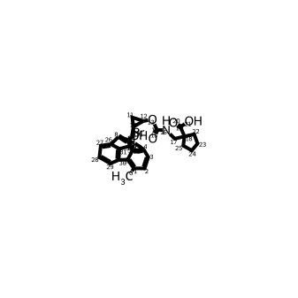 Cc1ccc2c3c(Br)c(n2C2CC2OC(=O)NCC2(C(=O)O)CCCC2)-c2cccc(c2C(=O)O)-c13